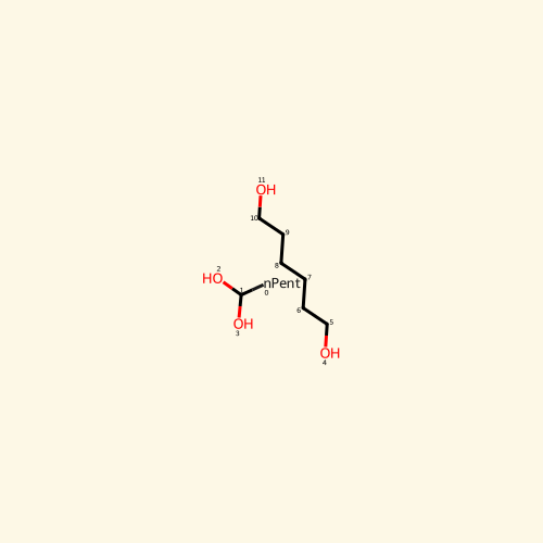 CCCCCC(O)O.OCCCCCCO